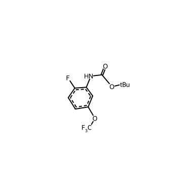 CC(C)(C)OC(=O)Nc1cc(OC(F)(F)F)ccc1F